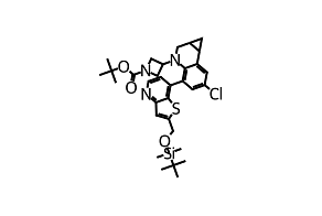 CC(C)(C)OC(=O)N1CC(N2CC3CC3c3cc(Cl)cc(-c4ccnc5cc(CO[Si](C)(C)C(C)(C)C)sc45)c32)C1